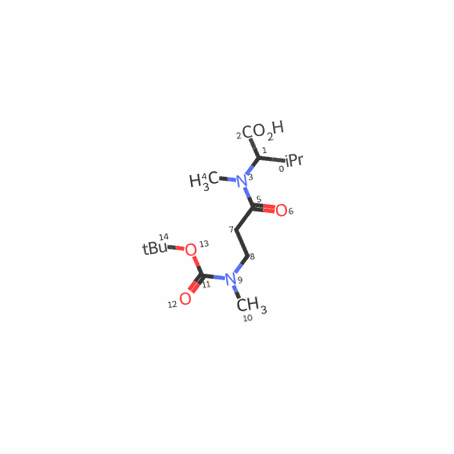 CC(C)C(C(=O)O)N(C)C(=O)CCN(C)C(=O)OC(C)(C)C